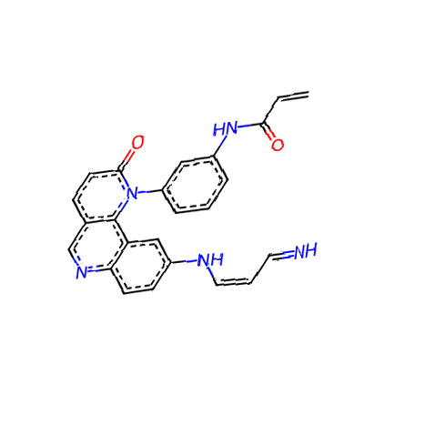 C=CC(=O)Nc1cccc(-n2c(=O)ccc3cnc4ccc(N/C=C\C=N)cc4c32)c1